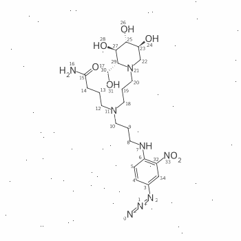 [N-]=[N+]=Nc1ccc(NCCCN(CCCC(N)=O)CCCN2C[C@H](O)[C@@H](O)[C@H](O)[C@H]2CO)c([N+](=O)[O-])c1